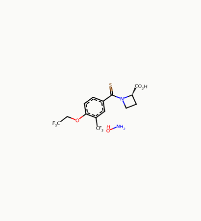 NO.O=C(O)[C@H]1CCN1C(=S)c1ccc(OCC(F)(F)F)c(C(F)(F)F)c1